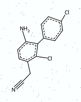 N#CCc1ccc(N)c(-c2ccc(Cl)cc2)c1Cl